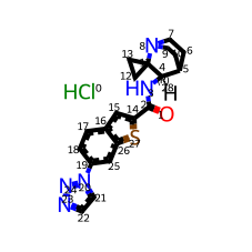 Cl.O=C(N[C@@H]1C2CCN(CC2)C12CC2)c1cc2ccc(-n3ccnn3)cc2s1